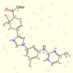 COC(=O)C1CC=C(c2cn(-c3cc(C)cc(Nc4nccc(C(F)(F)F)n4)c3)cn2)CC1(C)C